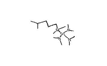 CC(C)CCC[Si](C)(C)[Sn]([N](C)C)([N](C)C)[N](C)C